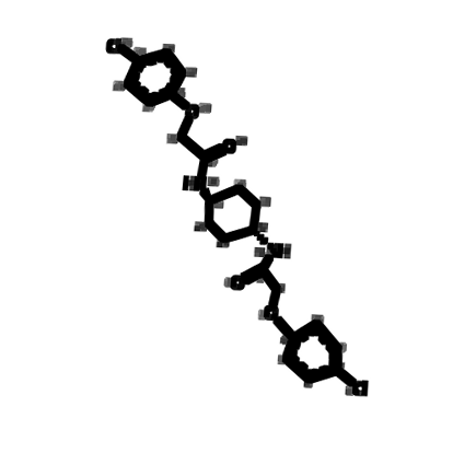 O=C(COc1ccc(Cl)cc1)N[C@H]1CC[C@H](NC(=O)COc2ccc(Cl)cc2)CC1